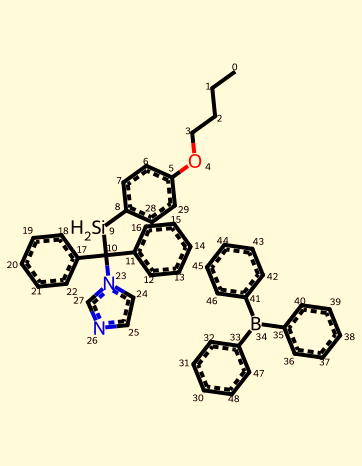 CCCCOc1ccc([SiH2]C(c2ccccc2)(c2ccccc2)n2ccnc2)cc1.c1ccc(B(c2ccccc2)c2ccccc2)cc1